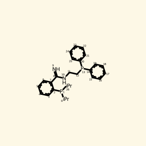 CC(C)P(c1ccccc1C(=N)NCCP(c1ccccc1)c1ccccc1)C(C)C